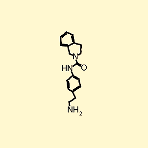 NCCc1ccc(NC(=O)N2CCc3ccccc3C2)cc1